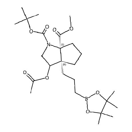 COC(=O)[C@]12CCC[C@@]1(CCCB1OC(C)(C)C(C)(C)O1)C(OC(C)=O)CN2C(=O)OC(C)(C)C